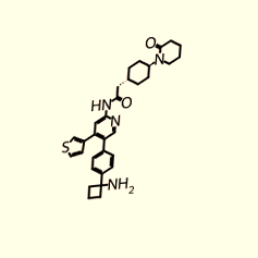 NC1(c2ccc(-c3cnc(NC(=O)C[C@H]4CC[C@H](N5CCCCC5=O)CC4)cc3-c3ccsc3)cc2)CCC1